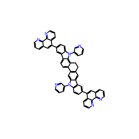 c1cncc(-n2c3ccc(-c4cc5cccnc5c5ncccc45)cc3c3cc4c(cc32)-c2ccc3c5cc(-c6cc7cccnc7c7ncccc67)ccc5n(-c5cccnc5)c3c2CC4)c1